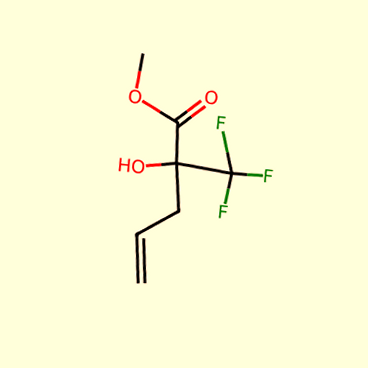 C=CCC(O)(C(=O)OC)C(F)(F)F